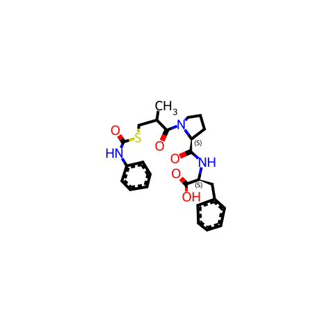 CC(CSC(=O)Nc1ccccc1)C(=O)N1CCC[C@H]1C(=O)N[C@@H](Cc1ccccc1)C(=O)O